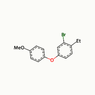 CCc1ccc(Oc2ccc(OC)cc2)cc1Br